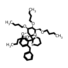 CCCCOC[C@H]1O[C@@](O)(C2(c3ccccc3Cc3ccccc3)SCCCS2)[C@H](OCCCC)[C@@H](OCCCC)[C@@H]1OCCCC